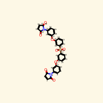 O=C1C=CC(=O)N1c1cccc(Oc2cccc(S(=O)(=O)c3cccc(Oc4cccc(N5C(=O)C=CC5=O)c4)c3)c2)c1